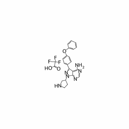 Nc1ncnc2c1c(-c1ccc(Oc3ccccc3)cc1)nn2C1CCNC1.O=C(O)C(F)(F)F